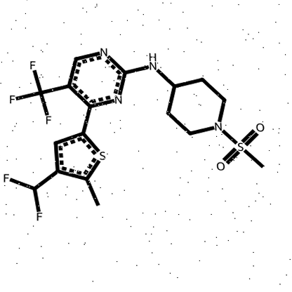 Cc1sc(-c2nc(NC3CCN(S(C)(=O)=O)CC3)ncc2C(F)(F)F)cc1C(F)F